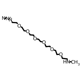 CNCCOCCOCCOCCOCCOCCOCCN=[N+]=[N-]